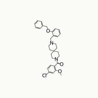 COc1cc(Cl)ccc1C(=O)N1CCC2(CCN(Cc3ccccc3OCc3ccccc3)CC2)CC1